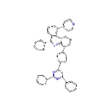 c1ccc(-c2cc(-c3ccc(-c4cccc5c4nc(-c4ccccc4)c4cccc(-c6ccncc6)c45)cc3)nc(-c3ccccc3)n2)cc1